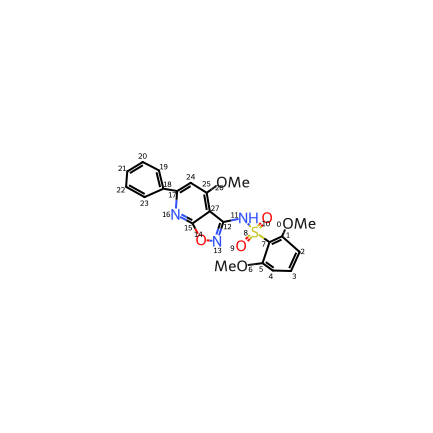 COc1cccc(OC)c1S(=O)(=O)Nc1noc2nc(-c3ccccc3)cc(OC)c12